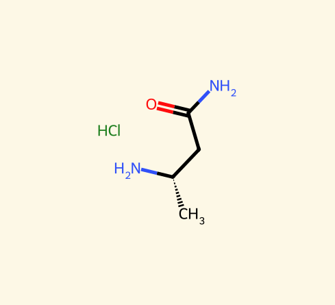 C[C@H](N)CC(N)=O.Cl